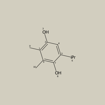 Cc1c(O)cc(C(C)C)c(O)c1C